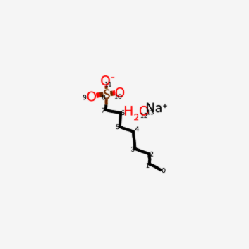 CCCCCCCCS(=O)(=O)[O-].O.[Na+]